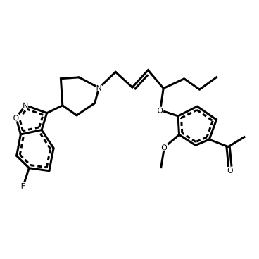 CCCC(/C=C/CN1CCC(c2noc3cc(F)ccc23)CC1)Oc1ccc(C(C)=O)cc1OC